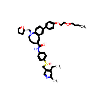 CCCCOCCOc1ccc(-c2ccc3c(c2)/C=C(/C(=O)Nc2ccc([S@@+]([O-])Cc4cnc(C)cc4CC)cc2)CCCN3C[C@H]2CCCO2)cc1